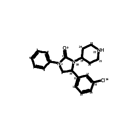 O=C1N(c2ccccc2)CC(c2cccc(Cl)c2)N1C1CCNCC1